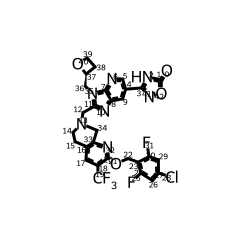 O=c1[nH]c(-c2cnc3c(c2)nc(CN2CCc4cc(C(F)(F)F)c(OCc5c(F)cc(Cl)cc5F)nc4C2)n3C[C@@H]2CCO2)no1